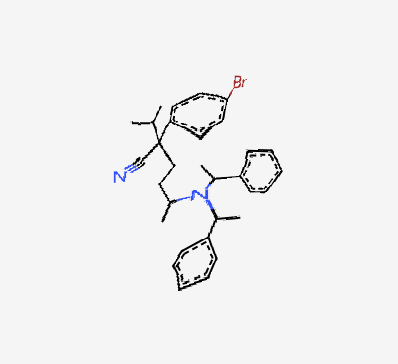 CC(CCC(C#N)(c1ccc(Br)cc1)C(C)C)N(C(C)c1ccccc1)C(C)c1ccccc1